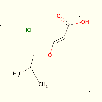 CC(C)COC=CC(=O)O.Cl